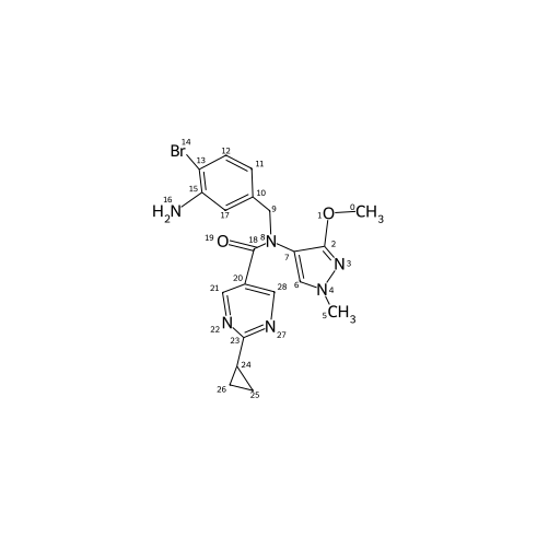 COc1nn(C)cc1N(Cc1ccc(Br)c(N)c1)C(=O)c1cnc(C2CC2)nc1